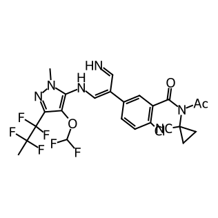 CC(=O)N(C(=O)c1cc(/C(C=N)=C/Nc2c(OC(F)F)c(C(F)(F)C(C)(F)F)nn2C)ccc1Cl)C1(C#N)CC1